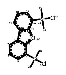 C[Si](C)(Cl)c1cccc2c1oc1c([Si](C)(C)Cl)cccc12